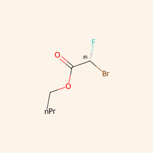 CCCCOC(=O)[C@H](F)Br